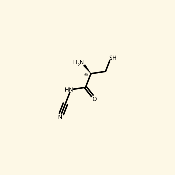 N#CNC(=O)[C@@H](N)CS